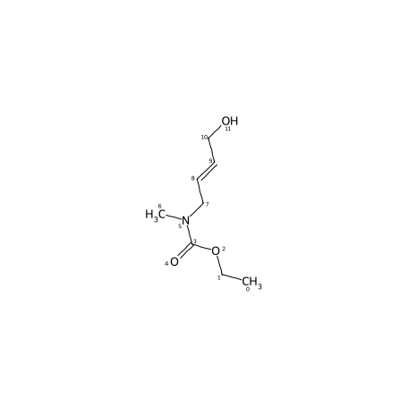 CCOC(=O)N(C)CC=CCO